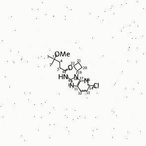 COC(C)(C)CCC(=O)Nc1nc2ccc(Cl)nc2n1C1CCC1